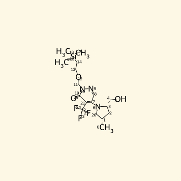 C[C@H]1C[C@@H](CO)N(c2cnn(COCC[Si](C)(C)C)c(=O)c2C(F)(F)F)C1